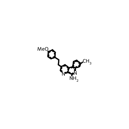 COc1ccc(CCc2cnc3c(N)nc4cc(C)ccc4c3c2)cc1